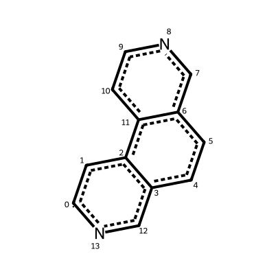 [c]1cc2c(ccc3cnccc32)cn1